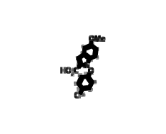 COc1ccc2c(c1)cc(C(=O)O)n2Oc1ccc(Cl)cc1